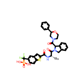 CC(C)(C)[C@H](NC(=O)c1cc2cc(C(F)(F)P(=O)(O)O)ccc2s1)C(=O)N1Cc2ccccc2C1C(=O)N1CCOC(c2ccccc2)C1